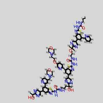 CCCNC(=O)Nc1nc2cc(-c3cnc(C(C)(C)OCCNC(=O)Nc4nc5cc(-c6cnc(C(C)(O)CCCNC(=O)Nc7nc8cc(-c9cnc(C(C)O)nc9)cc(-c9cc(CN%10CCOCC%10)ccn9)c8s7)nc6)cc(-c6ccc(OCCN7CCOCC7)cn6)c5s4)nc3)cc(-c3ccccn3)c2s1